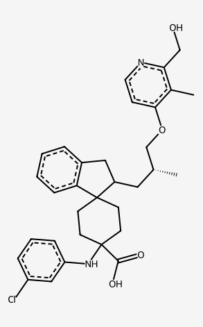 Cc1c(OC[C@H](C)CC2Cc3ccccc3C23CCC(Nc2cccc(Cl)c2)(C(=O)O)CC3)ccnc1CO